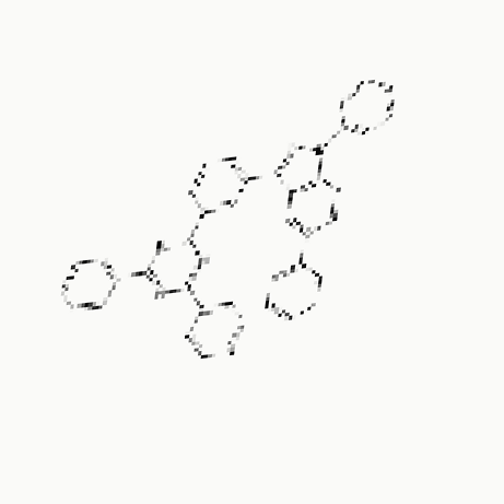 c1ccc(-c2ccc3c(c2)c(-c2cccc(-c4nc(-c5ccccc5)nc(-c5ccncc5)n4)c2)nn3-c2ccccc2)cc1